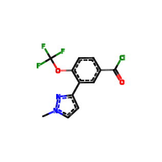 Cn1ccc(-c2cc(C(=O)Cl)ccc2OC(F)(F)F)n1